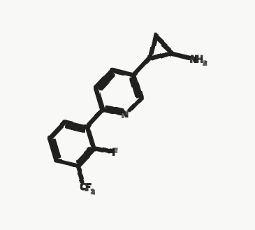 NC1CC1c1ccc(-c2cccc(C(F)(F)F)c2F)nc1